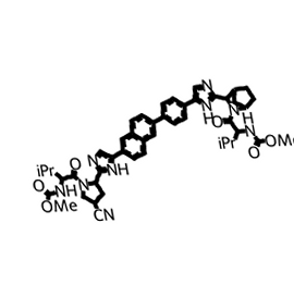 COC(=O)NC(C(=O)N1CC(C#N)CC1c1ncc(-c2ccc3cc(-c4ccc(-c5cnc(C6C7CCC(C7)N6C(=O)C(NC(=O)OC)C(C)C)[nH]5)cc4)ccc3c2)[nH]1)C(C)C